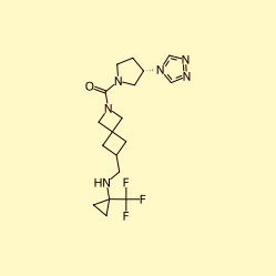 O=C(N1CC[C@H](n2cnnc2)C1)N1CC2(CC(CNC3(C(F)(F)F)CC3)C2)C1